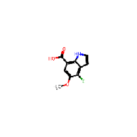 COc1cc(C(=O)O)c2[nH]ccc2c1Cl